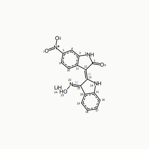 O=C1Nc2cc([N+](=O)[O-])ccc2/C1=C1/Nc2ccccc2/C1=N\O.[LiH]